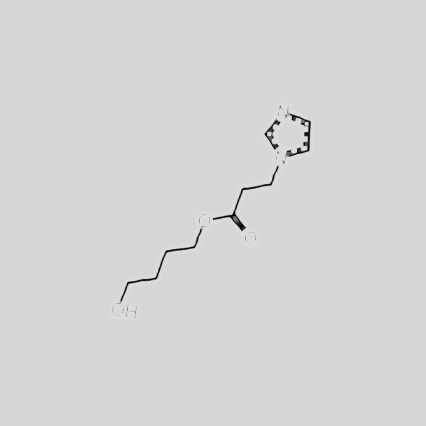 O=C(CCn1ccnc1)OCCCCO